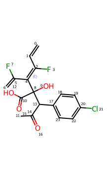 C=C/C(F)=C(\C(=C)F)C(O)(C(=O)O)C(C(C)=O)c1ccc(Cl)cc1